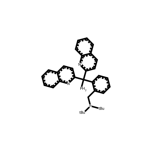 CC(C)(C)P(Cc1ccccc1C(P)(c1ccc2ccccc2n1)c1ccc2ccccc2n1)C(C)(C)C